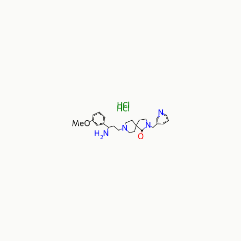 COc1cccc(C(N)CCN2CCC3(CC2)CCN(Cc2cccnc2)C3=O)c1.Cl.Cl